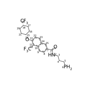 O=C(NCCCP)c1ccc2c(C(F)(F)F)c(O[C@H]3CC[C@@H](C(F)(F)F)CC3)ccc2c1